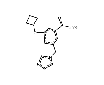 COC(=O)c1cc(Cn2ccnc2)cc(OC2CCC2)c1